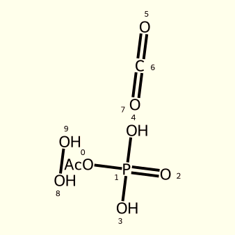 CC(=O)OP(=O)(O)O.O=C=O.OO